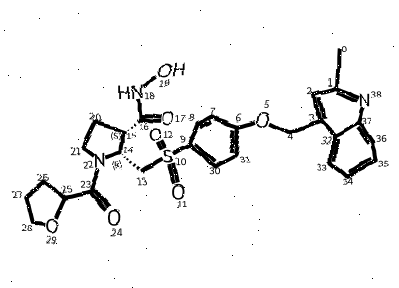 Cc1cc(COc2ccc(S(=O)(=O)C[C@H]3[C@@H](C(=O)NO)CCN3C(=O)C3CCCO3)cc2)c2ccccc2n1